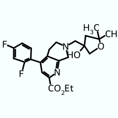 CCOC(=O)c1cc(-c2ccc(F)cc2F)c2c(n1)CN(CC1(O)COC(C)(C)C1)CC2